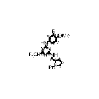 CCN1CCCC1CNc1nc(Nc2ccc(OC)c(F)c2)nc(NC(F)(F)F)n1